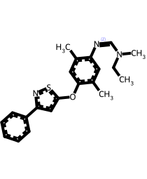 CCN(C)/C=N\c1cc(C)c(Oc2cc(-c3ccccc3)ns2)cc1C